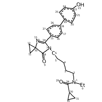 CCN(CCCCCN1C(=O)C2(CC2)N=C1c1ccc(-c2ccc(O)cc2)cc1)C(=O)C1CC1